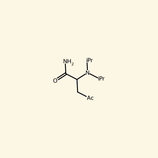 CC(=O)CC(C(N)=O)N(C(C)C)C(C)C